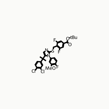 COc1cc(-n2c(C(C)(C)c3ccc(Cl)c(Cl)c3)cnc2SCc2c(F)cc(C(=O)OC(C)(C)C)cc2F)ccc1F